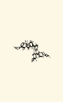 CN1CCN(C(c2ccc(F)cc2)c2cncc(-c3ccc4[nH]c(CC(=O)O)cc4c3)n2)CC1